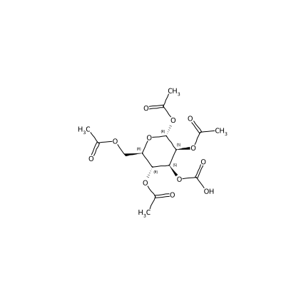 CC(=O)OC[C@H]1O[C@H](OC(C)=O)[C@@H](OC(C)=O)[C@@H](OC(=O)O)[C@@H]1OC(C)=O